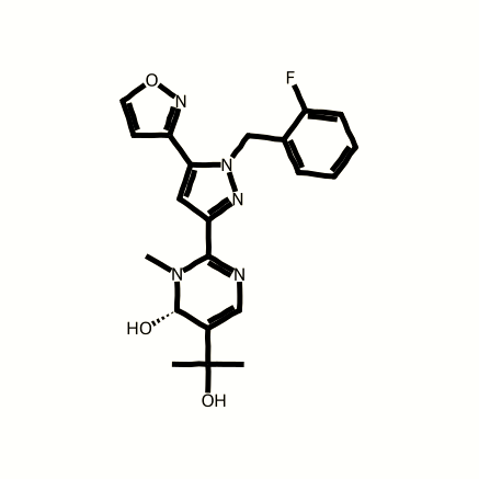 CN1C(c2cc(-c3ccon3)n(Cc3ccccc3F)n2)=NC=C(C(C)(C)O)[C@@H]1O